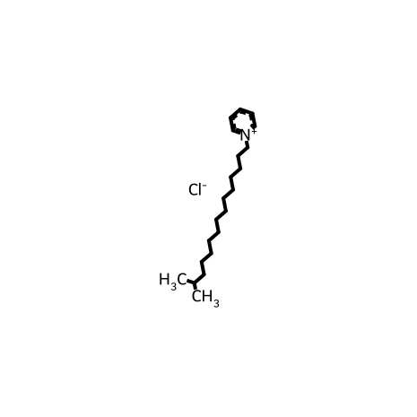 CC(C)CCCCCCCCCCCCC[n+]1ccccc1.[Cl-]